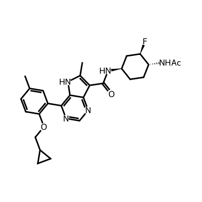 CC(=O)N[C@@H]1CC[C@@H](NC(=O)c2c(C)[nH]c3c(-c4cc(C)ccc4OCC4CC4)ncnc23)C[C@H]1F